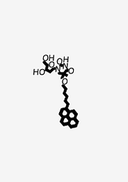 CC1(COCCCCCCc2ccc3ccc4cccc5ccc2c3c45)CN(C2C[C@H](O)C(CO)O2)C(=O)NC1=O